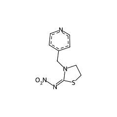 O=[N+]([O-])/N=C1/SCCN1Cc1ccncc1